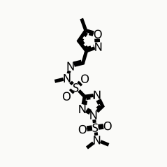 Cc1cc(/C=N/N(C)S(=O)(=O)c2ncn(S(=O)(=O)N(C)C)n2)no1